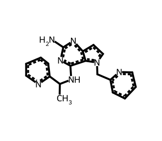 CC(Nc1nc(N)nc2ccn(Cc3ccccn3)c12)c1ccccn1